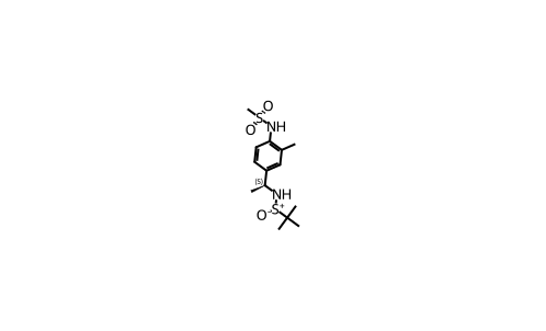 Cc1cc([C@H](C)N[S+]([O-])C(C)(C)C)ccc1NS(C)(=O)=O